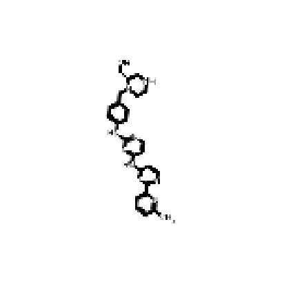 Cc1cccc(-c2nccc(Nc3ccnc(Nc4ccc(CN5CCNC[C@@H]5CO)cc4)n3)n2)n1